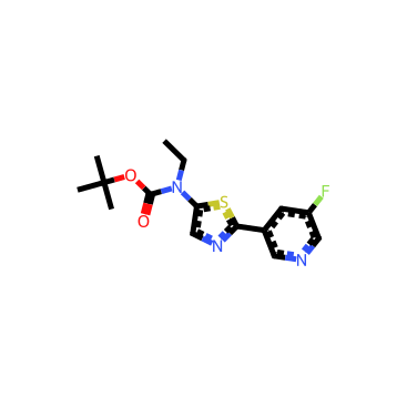 CCN(C(=O)OC(C)(C)C)c1cnc(-c2cncc(F)c2)s1